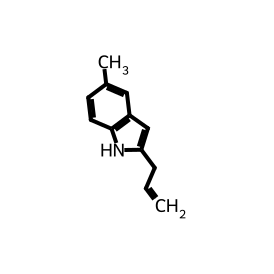 C=CCc1cc2cc(C)ccc2[nH]1